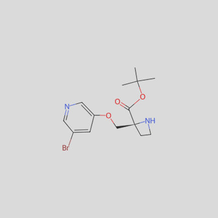 CC(C)(C)OC(=O)[C@@]1(COc2cncc(Br)c2)CCN1